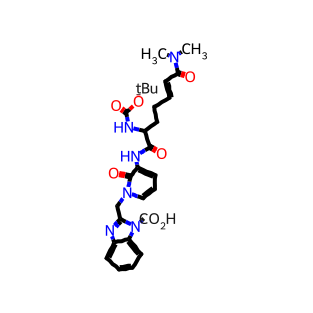 CN(C)C(=O)C=CCCC(NC(=O)OC(C)(C)C)C(=O)Nc1cccn(Cc2nc3ccccc3n2C(=O)O)c1=O